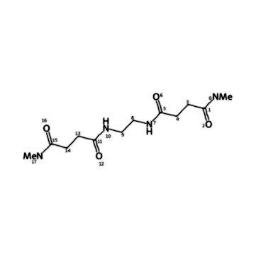 CNC(=O)CCC(=O)NCCNC(=O)CCC(=O)NC